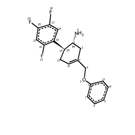 N[C@@H]1CC(COc2ccccc2)=CC[C@H]1c1cc(F)c(F)cc1F